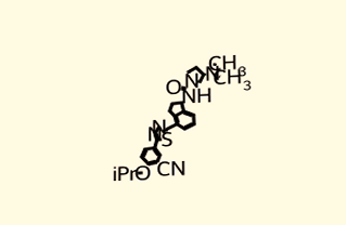 CC(C)Oc1ccc(-c2nnc(-c3cccc4c3CC[C@@H]4NC(=O)N3CC[C@@H](N(C)C)C3)s2)cc1C#N